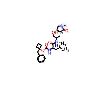 CC(C)CC(NC(=O)OC1(Cc2ccccc2)CCC1)C(=O)NC(CO)C[C@@H]1CCNC1=O